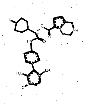 Cc1cc[n+]([O-])c(C)c1-c1ccc(NC(=O)[C@@H](NC(=O)c2ccc3n2CCNC3)C2CCC(F)CC2)cc1